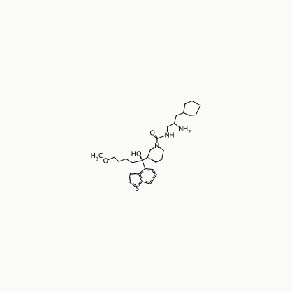 COCCCC[C@@](O)(c1cccc2sccc12)[C@@H]1CCCN(C(=O)NCC(N)CC2CCCCC2)C1